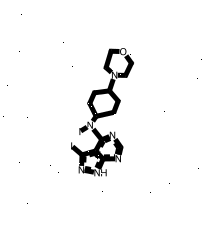 Ic1n[nH]c2ncnc(N(I)C3CCC(N4CCOCC4)CC3)c12